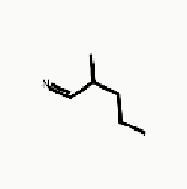 CCCC(C)C=[N]